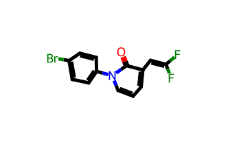 O=c1c(C=C(F)F)cccn1-c1ccc(Br)cc1